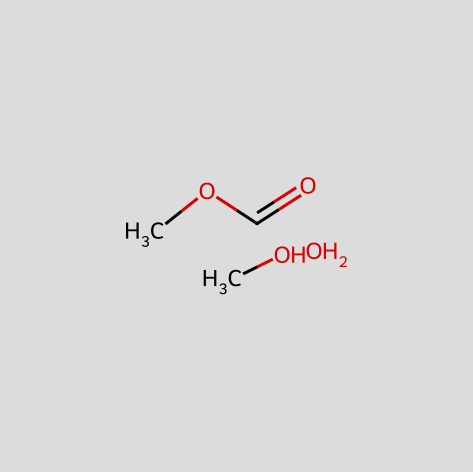 CO.COC=O.O